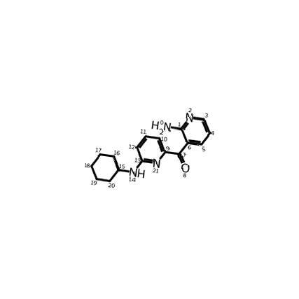 Nc1ncccc1C(=O)c1cccc(NC2CCCCC2)n1